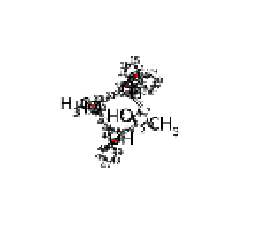 Cc1cc2c(O)c(c1)Cc1cc(-c3ccccc3)cc(c1OS(=O)(=O)c1ccccc1)Cc1cc(C)cc(c1O)Cc1cc(-c3ccccc3)cc(c1O)C2